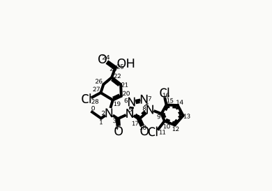 CCN(C(=O)n1nnn(-c2c(Cl)cccc2Cl)c1=O)C1=CC=C(C(=O)O)CC1Cl